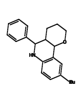 CCC(C)c1ccc2c(c1)C1OCCCC1C(c1ccccc1)N2